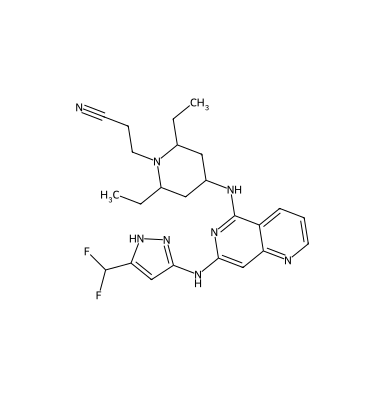 CCC1CC(Nc2nc(Nc3cc(C(F)F)[nH]n3)cc3ncccc23)CC(CC)N1CCC#N